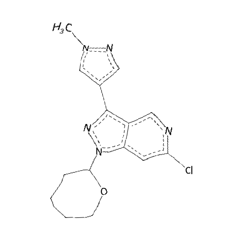 Cn1cc(-c2nn(C3CCCCO3)c3cc(Cl)ncc23)cn1